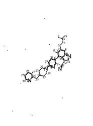 Cc1c(CCC(C)C)cn2ncc(C#N)c2c1-c1ccc(N2CCC(Cc3ccccn3)CC2)nc1